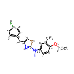 CCCCCCCCOc1ccc(Nc2nc(Cc3ccc(F)cc3)cs2)cc1C(F)(F)F